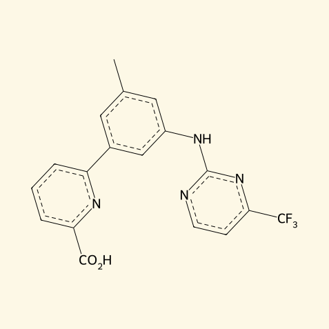 Cc1cc(Nc2nccc(C(F)(F)F)n2)cc(-c2cccc(C(=O)O)n2)c1